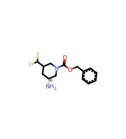 N[C@@H]1CC(C(F)F)CN(C(=O)OCc2ccccc2)C1